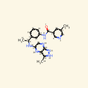 Cc1cncc(C(=O)Nc2cccc([C@H](C)Nc3cnc4n[nH]c(C)c4n3)c2)c1